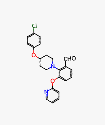 O=Cc1cccc(Oc2ccccn2)c1N1CCC(Oc2ccc(Cl)cc2)CC1